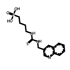 O=P(O)(O)CCCCNC(=S)NCc1cnc2ccccc2c1